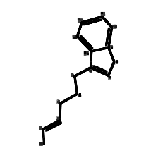 CC=CCCCC1=C[CH]c2ccccc21